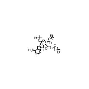 CCC(C)(C)OC(=O)OC[C@H]1O[C@@](C)(c2ccc3c(N)ncnn23)[C@H](OC(=O)OC(C)(C)CC)[C@@H]1OC(=O)OC(C)(C)CC